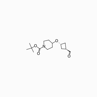 CC(C)(C)OC(=O)N1CCC(O[C@H]2C[C@H](C=O)C2)CC1